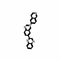 c1ccc2nc(-c3ccc4nc[n+](-c5ccc6cnccc6c5)cc4c3)cnc2c1